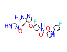 Nc1nccc(Oc2ccc(NC(=O)c3ccnn(-c4ccc(F)cc4)c3=O)cc2F)c1C#CC(=O)N1CCNCC1